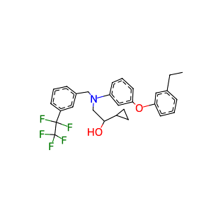 CCc1cccc(Oc2cccc(N(Cc3cccc(C(F)(F)C(F)(F)F)c3)CC(O)C3CC3)c2)c1